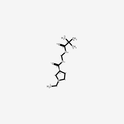 CCN1CC[C@H](C(=O)OCOC(=O)C(C)(C)C)C1